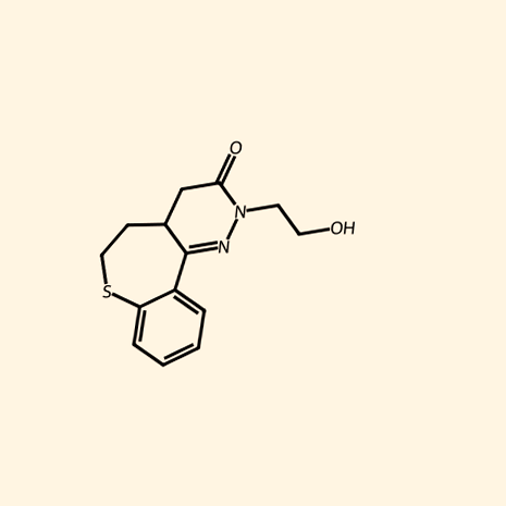 O=C1CC2CCSc3ccccc3C2=NN1CCO